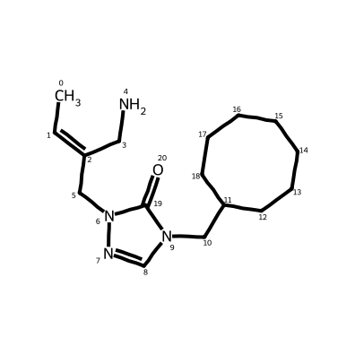 C/C=C(\CN)Cn1ncn(CC2CCCCCCC2)c1=O